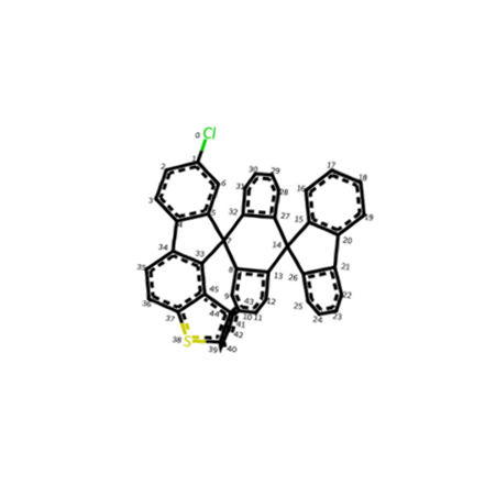 Clc1ccc2c(c1)C1(c3ccccc3C3(c4ccccc4-c4ccccc43)c3ccccc31)c1c-2ccc2sc3ccccc3c12